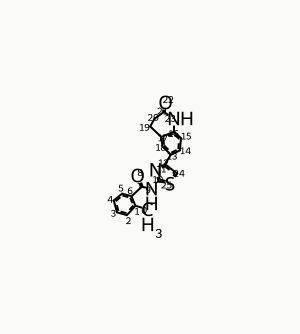 Cc1ccccc1C(=O)Nc1nc(-c2ccc3c(c2)CCC(=O)N3)cs1